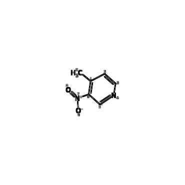 Cc1ccn[c]c1[N+](=O)[O-]